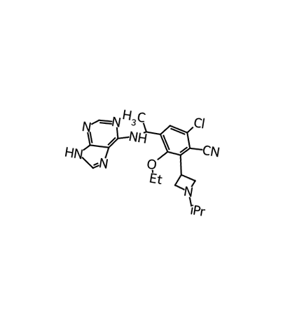 CCOc1c(C(C)Nc2ncnc3[nH]cnc23)cc(Cl)c(C#N)c1C1CN(C(C)C)C1